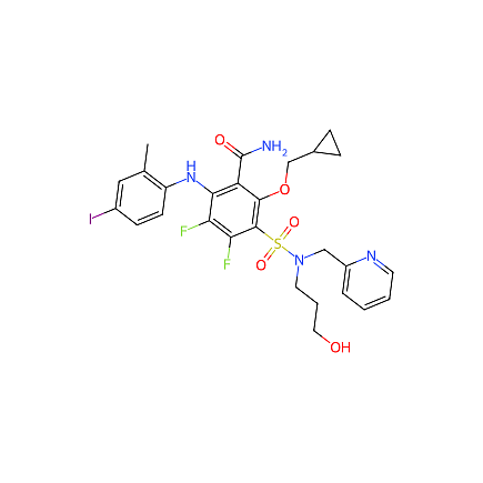 Cc1cc(I)ccc1Nc1c(F)c(F)c(S(=O)(=O)N(CCCO)Cc2ccccn2)c(OCC2CC2)c1C(N)=O